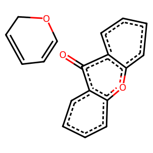 C1=CCOC=C1.O=c1c2ccccc2oc2ccccc12